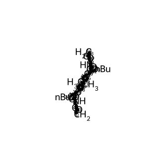 C=CC(=O)OCCNC(=O)OC(COCCCC)COc1ccc(C(C)(C)c2ccc(OCC(COCCCC)OC(=O)NCCOC(=O)C=C)cc2)cc1